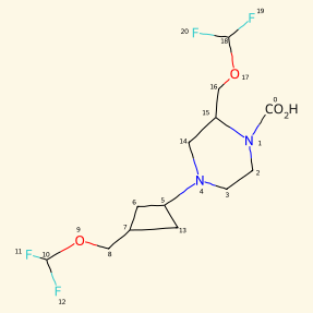 O=C(O)N1CCN(C2CC(COC(F)F)C2)CC1COC(F)F